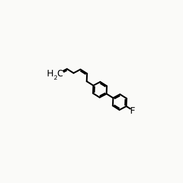 C=CC/C=C\Cc1ccc(-c2ccc(F)cc2)cc1